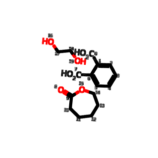 O=C(O)c1ccccc1C(=O)O.O=C1CCCCCO1.OCCO